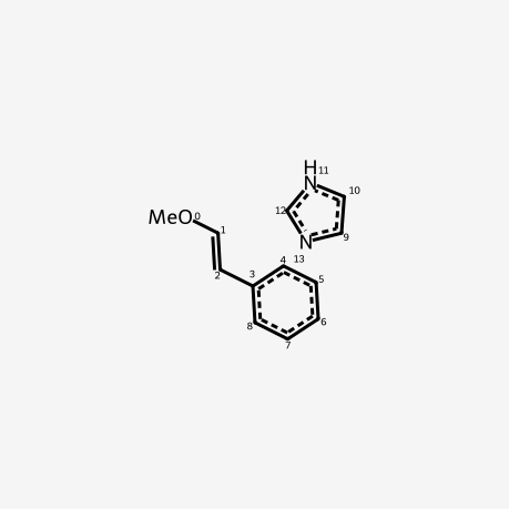 COC=Cc1ccccc1.c1c[nH]cn1